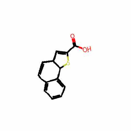 O=C(O)C1=CC2C=Cc3ccccc3C2S1